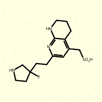 O=S(=O)(O)Cc1cc(CCC2(F)CCNC2)nc2c1CCCN2